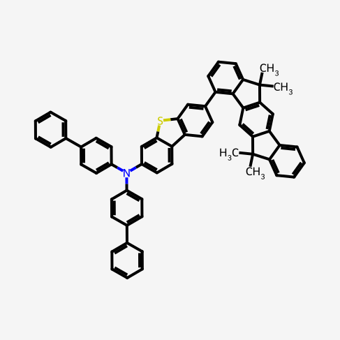 CC1(C)c2ccccc2-c2cc3c(cc21)-c1c(-c2ccc4c(c2)sc2cc(N(c5ccc(-c6ccccc6)cc5)c5ccc(-c6ccccc6)cc5)ccc24)cccc1C3(C)C